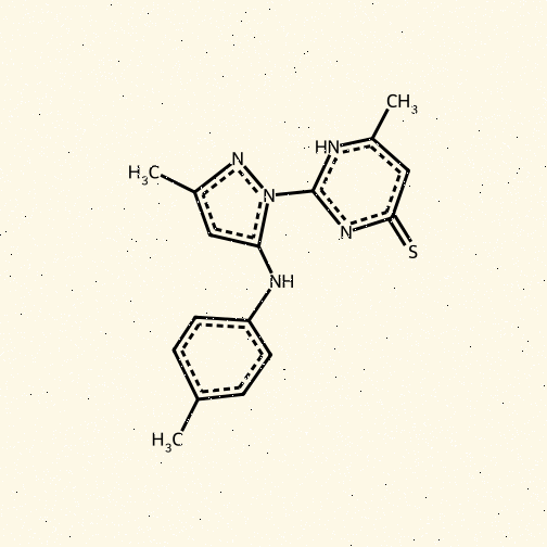 Cc1ccc(Nc2cc(C)nn2-c2nc(=S)cc(C)[nH]2)cc1